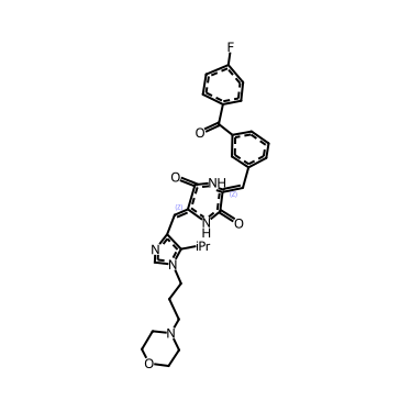 CC(C)c1c(/C=c2\[nH]c(=O)/c(=C/c3cccc(C(=O)c4ccc(F)cc4)c3)[nH]c2=O)ncn1CCCN1CCOCC1